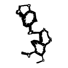 COc1cc2ncnc(Oc3ccc4c(c3)OCO4)c2cc1OC